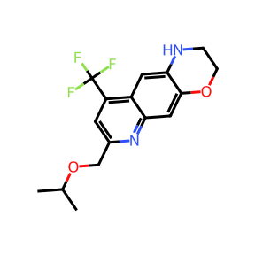 CC(C)OCc1cc(C(F)(F)F)c2cc3c(cc2n1)OCCN3